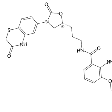 COc1cccc(C(=O)NCCC[C@@H]2CN(c3ccc4c(c3)NC(=O)CS4)C(=O)O2)c1N